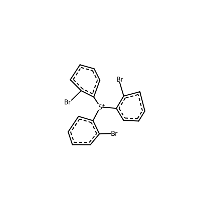 Brc1ccccc1[S+](c1ccccc1Br)c1ccccc1Br